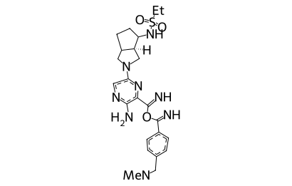 CCS(=O)(=O)NC1CCC2CN(c3cnc(N)c(C(=N)OC(=N)c4ccc(CNC)cc4)n3)C[C@@H]21